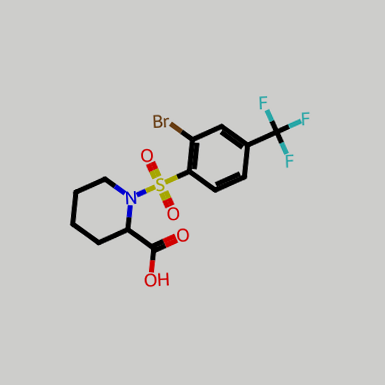 O=C(O)C1CCCCN1S(=O)(=O)c1ccc(C(F)(F)F)cc1Br